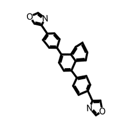 c1ccc2c(-c3ccc(-c4cocn4)cc3)ccc(-c3ccc(-c4cocn4)cc3)c2c1